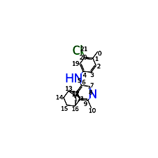 Cc1ccc(Nc2cnc(C)c3c2C2CCC3CC2)cc1Cl